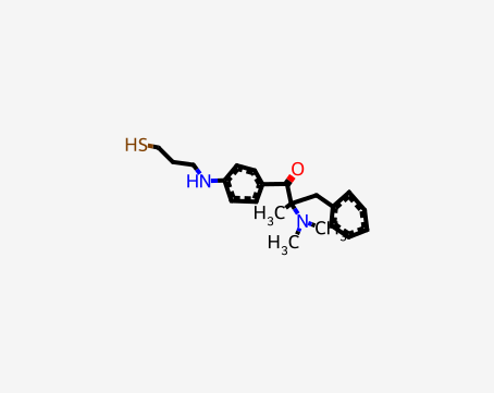 CN(C)C(C)(Cc1ccccc1)C(=O)c1ccc(NCCCS)cc1